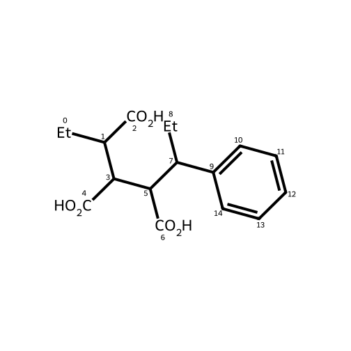 CCC(C(=O)O)C(C(=O)O)C(C(=O)O)C(CC)c1ccccc1